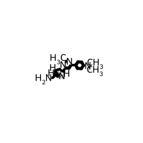 Cc1nc(-c2ccc(N(C)C)cc2)cc([C@H]2C[C@@H]3CC[N@@]2C[C@@H]3CN)n1